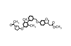 COC(=O)CC1COc2cc(OCc3cccc(-c4c(C)cc(OC5CCN(C(C)=O)C5)cc4C)c3)ccc21